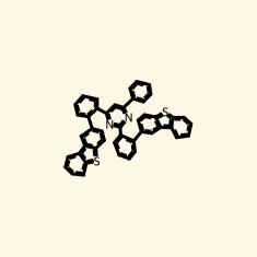 c1ccc(-c2cc(-c3ccccc3-c3ccc4sc5ccccc5c4c3)nc(-c3ccccc3-c3ccc4sc5ccccc5c4c3)n2)cc1